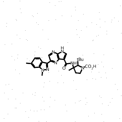 Cc1ccc2c(-c3cnc4[nH]cc(C(=O)NC5(C)CCN(C(=O)O)C5C(C)(C)C)c4n3)nn(C)c2c1